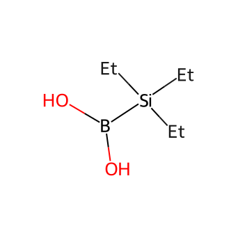 CC[Si](CC)(CC)B(O)O